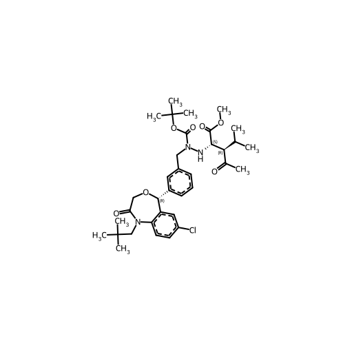 COC(=O)[C@@H](NN(Cc1cccc([C@H]2OCC(=O)N(CC(C)(C)C)c3ccc(Cl)cc32)c1)C(=O)OC(C)(C)C)[C@H](C(C)=O)C(C)C